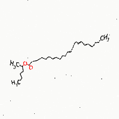 CCCCCCCCCCCCCCCCCCCCCC(=O)OC(C)CCCC